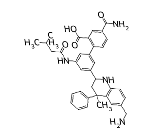 CC(C)CC(=O)Nc1cc(-c2ccc(C(N)=O)cc2C(=O)O)cc(C2CC(C)(c3ccccc3)c3cc(CN)ccc3N2)c1